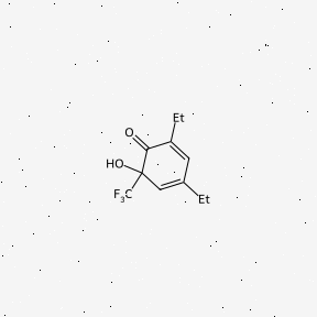 CCC1=CC(O)(C(F)(F)F)C(=O)C(CC)=C1